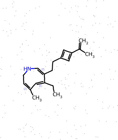 C=C(C)C1=CC(CCC2=C\NC\C=C(C)/C=C/2CC)=C1